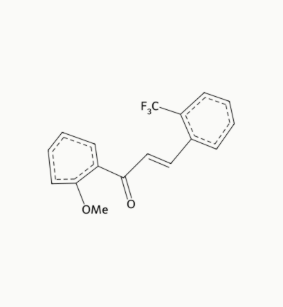 COc1ccccc1C(=O)C=Cc1ccccc1C(F)(F)F